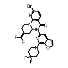 O=C(Nc1cc2ccoc2c(N2CCC(F)(F)CC2)n1)c1ccc(Br)nc1N1CCC(=C(F)F)CC1